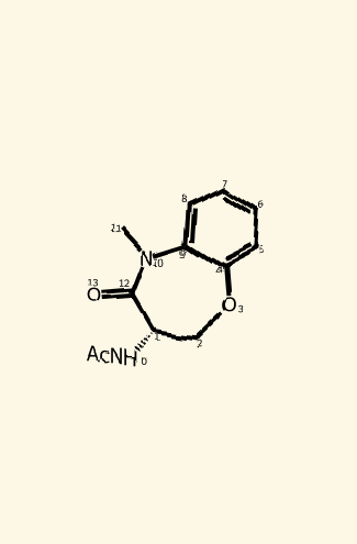 CC(=O)N[C@H]1COc2ccccc2N(C)C1=O